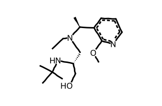 CCN(C[C@H](CO)NC(C)(C)C)[C@@H](C)c1cccnc1OC